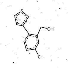 OCc1cc(Cl)ccc1-c1ccsc1